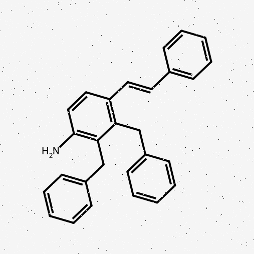 Nc1ccc(C=Cc2ccccc2)c(Cc2ccccc2)c1Cc1ccccc1